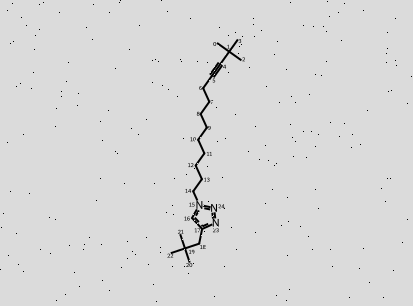 CC(C)(C)C#CCCCCCCCCCn1cc(CC(C)(C)C)nn1